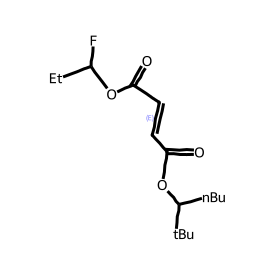 CCCCC(OC(=O)/C=C/C(=O)OC(F)CC)C(C)(C)C